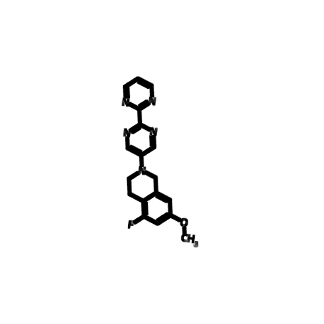 COc1cc(F)c2c(c1)CN(c1cnc(-c3ncccn3)nc1)CC2